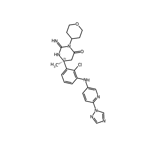 C[C@@]1(c2cccc(Nc3ccc(-n4cncn4)nc3)c2Cl)CC(=O)N(C2CCOCC2)C(=N)N1